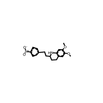 COc1cc2c(cc1OC)NC(CCc1ccc([N+](=O)[O-])cc1)CC2